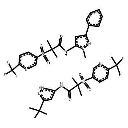 CC(C)(C)c1cc(NC(=O)C(C)(C)S(=O)(=O)c2ccc(C(F)(F)F)nc2)[nH]n1.Cn1nc(-c2ccccc2)cc1NC(=O)C(C)(C)S(=O)(=O)c1ccc(C(F)(F)F)nc1